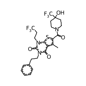 Cc1c(C(=O)N2CCC(O)(C(F)(F)F)CC2)sc2c1c(=O)n(CCc1ccccc1)c(=O)n2CCC(F)(F)F